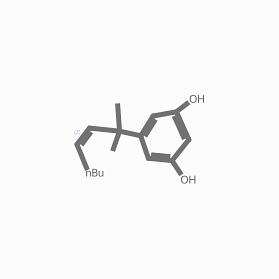 CCCC/C=C\C(C)(C)c1cc(O)cc(O)c1